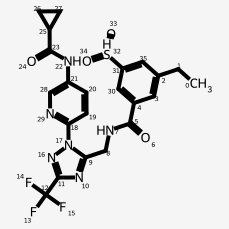 CCc1cc(C(=O)NCc2nc(C(F)(F)F)nn2-c2ccc(NC(=O)C3CC3)cn2)cc([SH](=O)=O)c1